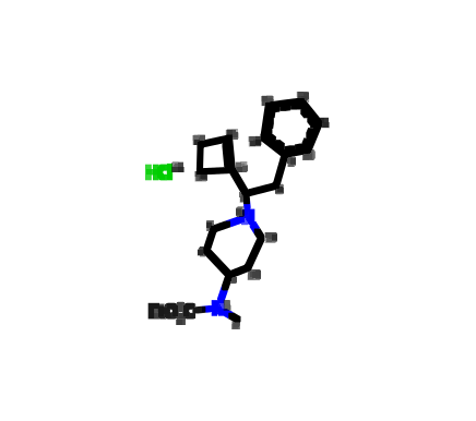 CCOC(=O)N(C)C1CCN(C(Cc2ccccc2)C2=CCC2)CC1.Cl